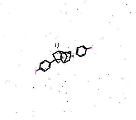 Ic1ccc(C23C[C@H]4C5CC6C[C@](c7ccc(I)cc7)(C5)CC4[C@@]62C3)cc1